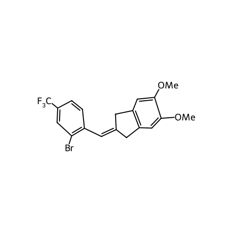 COc1cc2c(cc1OC)CC(=Cc1ccc(C(F)(F)F)cc1Br)C2